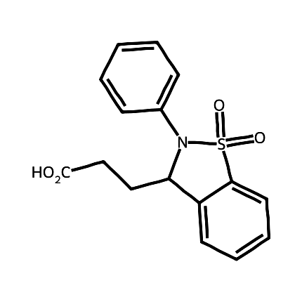 O=C(O)CCC1c2ccccc2S(=O)(=O)N1c1ccccc1